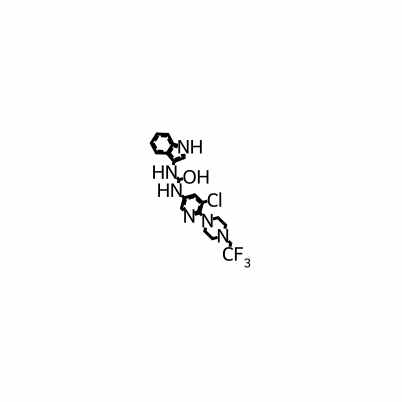 OC(Nc1cnc(N2CCN(CC(F)(F)F)CC2)c(Cl)c1)Nc1c[nH]c2ccccc12